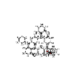 c1ccc(N2c3cc4c(cc3B3c5cc6c(cc5Oc5cccc2c53)Oc2cccc3c2B6c2ccccc2O3)B2c3ccccc3Oc3cccc(c32)O4)cc1